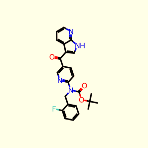 CC(C)(C)OC(=O)N(Cc1ccccc1F)c1ccc(C(=O)c2c[nH]c3ncccc23)cn1